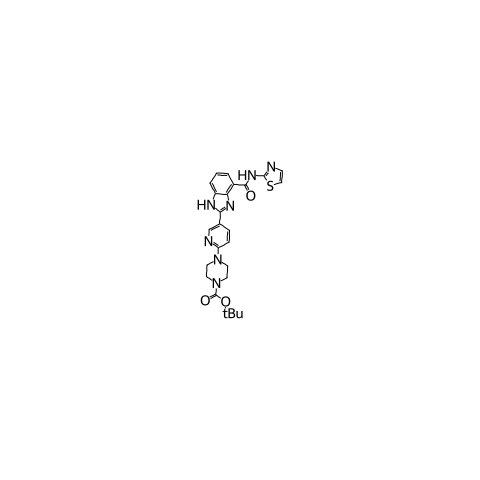 CC(C)(C)OC(=O)N1CCN(c2ccc(-c3nc4c(C(=O)Nc5nccs5)cccc4[nH]3)cn2)CC1